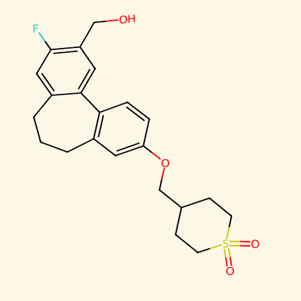 O=S1(=O)CCC(COc2ccc3c(c2)CCCc2cc(F)c(CO)cc2-3)CC1